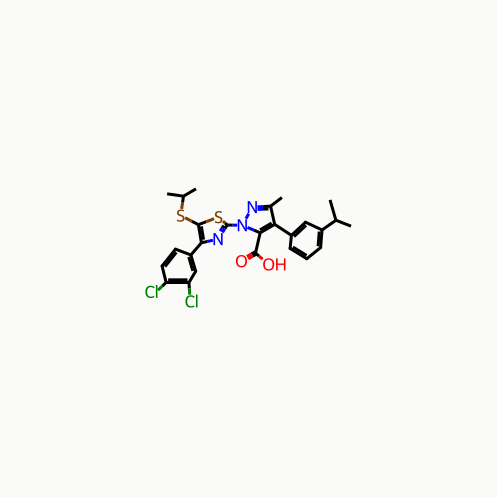 Cc1nn(-c2nc(-c3ccc(Cl)c(Cl)c3)c(SC(C)C)s2)c(C(=O)O)c1-c1cccc(C(C)C)c1